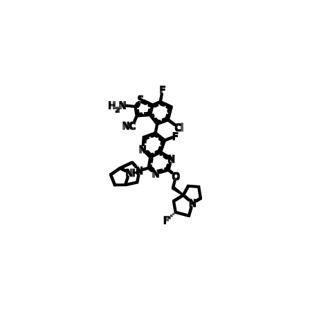 N#Cc1c(N)sc2c(F)cc(Cl)c(-c3cnc4c(N5CC6CCC(C5)N6)nc(OC[C@@]56CCCN5C[C@H](F)C6)nc4c3F)c12